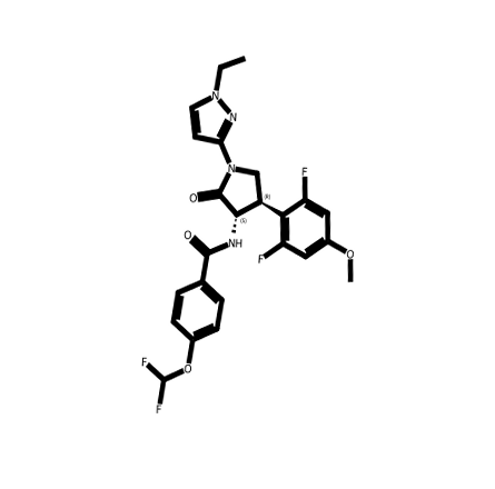 CCn1ccc(N2C[C@@H](c3c(F)cc(OC)cc3F)[C@H](NC(=O)c3ccc(OC(F)F)cc3)C2=O)n1